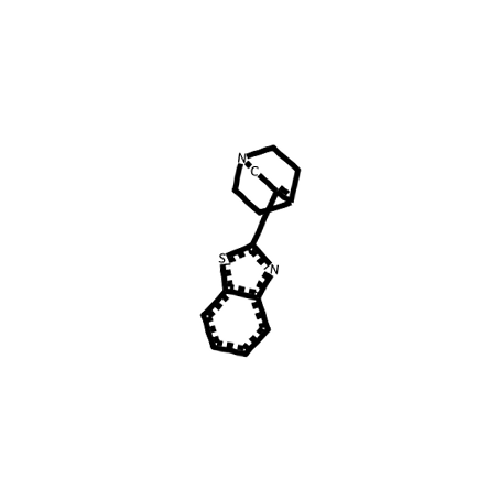 c1ccc2sc(C3=C4CCN(CC4)C3)nc2c1